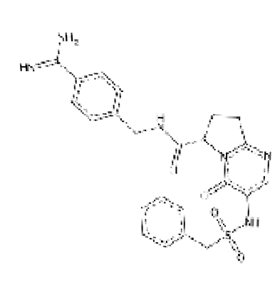 N=C(N)c1ccc(CNC(=O)[C@@H]2CCc3ncc(NS(=O)(=O)Cc4ccccc4)c(=O)n32)cc1